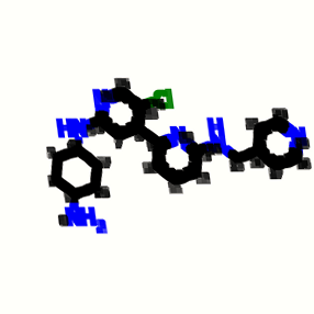 N[C@H]1CC[C@H](Nc2cc(-c3cccc(NCc4ccncc4)n3)c(Cl)cn2)CC1